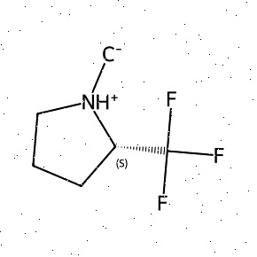 [CH2-][NH+]1CCC[C@H]1C(F)(F)F